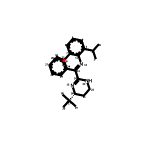 CC(C)c1cccc(C(C)C)c1/N=C(/C1=N[C@@H](C(C)(C)C)CCN1)c1ccccc1